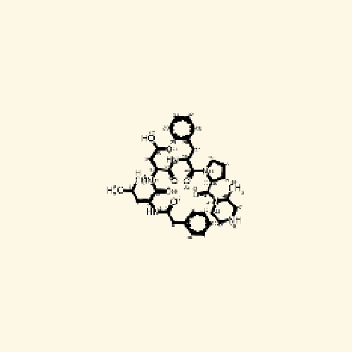 CC(C)CC(NC(=O)Cc1ccccc1)C(=O)NC(CC(=O)O)C(=O)NC(Cc1ccccc1)C(=O)N1CCC[C@H]1C(=O)N1CCNCC1C